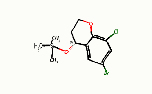 C[Si](C)(C)O[C@@H]1CCOc2c(Cl)cc(Br)cc21